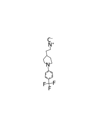 [C-]#[N+]CCC1CCN(c2ccc(C(F)(F)F)cc2)CC1